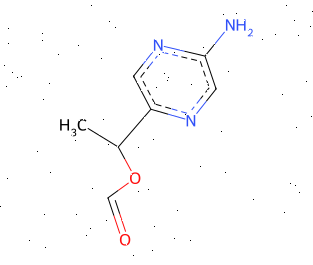 CC(OC=O)c1cnc(N)cn1